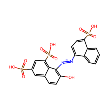 O=S(=O)(O)c1cc(S(=O)(=O)O)c2c(/N=N/c3ccc(S(=O)(=O)O)c4ccccc34)c(O)ccc2c1